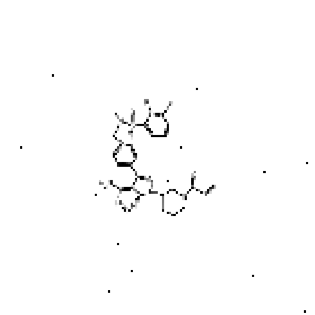 C=CC(=O)N1CCCC(n2nc(-c3ccc(CN(C)S(=O)(=O)c4cccc(F)c4F)cc3)c3c(N)ncnc32)C1